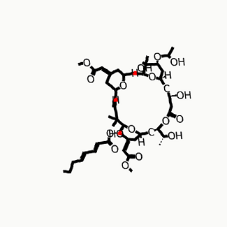 CCC/C=C/C=C/C(=O)O[C@H]1/C(=C/C(=O)OC)C[C@H]2C[C@H]([C@@H](C)O)OC(=O)C[C@H](O)C[C@@H]3C[C@H](OC(C)O)C(C)(C)[C@](O)(C[C@@H]4C/C(=C/C(=O)OC)C[C@H](/C=C/C(C)(C)C1(O)O2)O4)O3